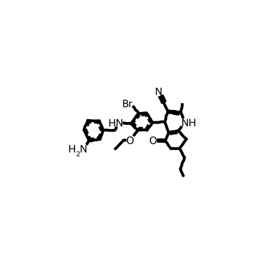 CCCC1CC(=O)C2=C(C1)NC(C)=C(C#N)C2c1cc(Br)c(NCc2cccc(N)c2)c(OCC)c1